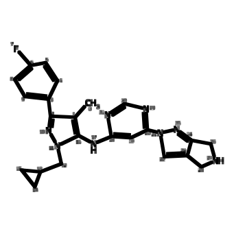 Cc1c(-c2ccc(F)cc2)nn(CC2CC2)c1Nc1cc(-n2cc3c(n2)CNC3)ncn1